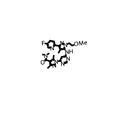 COCCn1nc(-c2ccc(F)cn2)c(C)c1Nc1cc(-n2nc(C)c(C(=O)N(C)C)c2C)ncn1